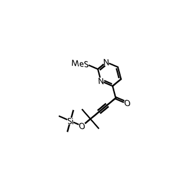 CSc1nccc(C(=O)C#CC(C)(C)O[Si](C)(C)C)n1